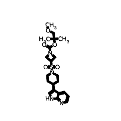 COCC(C)(C)OC(=O)N1CC(S(=O)(=O)N2CCC(c3c[nH]c4ncccc34)CC2)C1